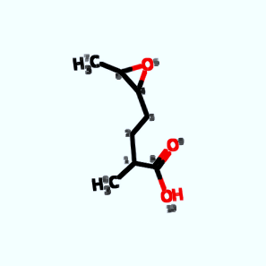 CC(CCC1OC1C)C(=O)O